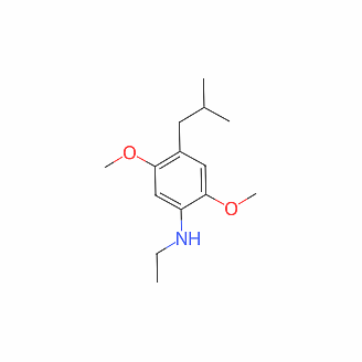 CCNc1cc(OC)c(CC(C)C)cc1OC